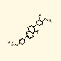 CCc1ccc(-c2ccc3c(F)c(-c4ccc(OC)c(F)c4)ccc3c2)cc1